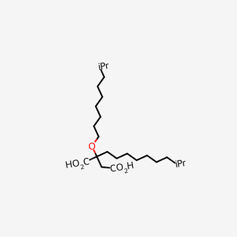 CC(C)CCCCCCCOC(CCCCCCCC(C)C)(CC(=O)O)C(=O)O